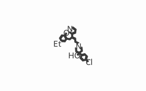 CCc1ccc2c(c1)CC(=CCCN1CCC(O)(c3ccc(Cl)cc3)CC1)c1cccnc1O2